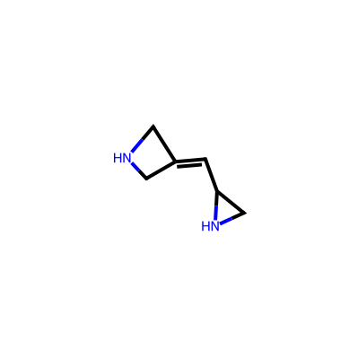 C(=C1CNC1)C1CN1